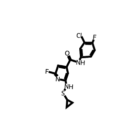 O=C(Nc1ccc(F)c(Cl)c1)c1cc(F)nc(NSC2CC2)c1